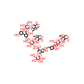 C/C=C1/[C@H](O[C@@H]2O[C@H](CO)[C@@H](O)[C@H](O)[C@H]2O)OC=C(C(=O)OC)[C@H]1CC(O)OCCc1ccc(O)c(O)c1.C=C[C@H]1[C@H](O[C@@H]2O[C@H](CO)[C@@H](O)[C@H](O)[C@H]2O)OC=C2C(=O)OCC[C@H]21.C=C[C@H]1[C@H](O[C@@H]2O[C@H](CO)[C@@H](O)[C@H](O)[C@H]2O)OC=C2C(=O)OCC[C@]21O.C=C[C@H]1[C@H](O[C@@H]2O[C@H](CO)[C@@H](O)[C@H](O)[C@H]2OC(=O)c2c(O)cc(O)cc2-c2cccc(O)c2)OC=C2C(=O)OCC[C@H]21